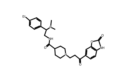 CCc1ccc(C(CNC(=O)C2CCN(CCC(=O)c3ccc4[nH]c(=O)oc4c3)CC2)N(C)C)cc1